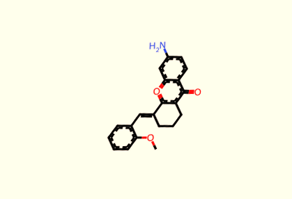 COc1ccccc1C=C1CCCc2c1oc1cc(N)ccc1c2=O